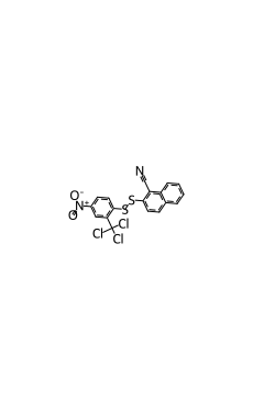 N#Cc1c(SSc2ccc([N+](=O)[O-])cc2C(Cl)(Cl)Cl)ccc2ccccc12